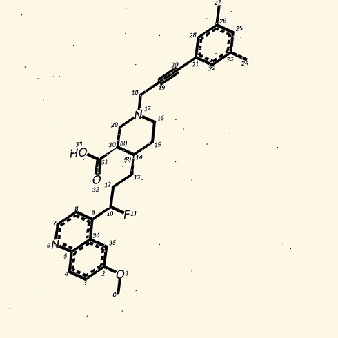 COc1ccc2nccc(C(F)CC[C@@H]3CCN(CC#Cc4cc(C)cc(C)c4)C[C@@H]3C(=O)O)c2c1